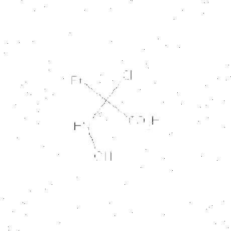 CCC(Cl)(NO)C(=O)O